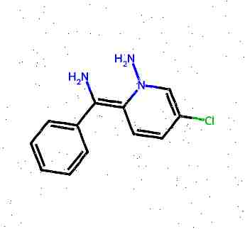 N/C(=C1/C=CC(Cl)=CN1N)c1ccccc1